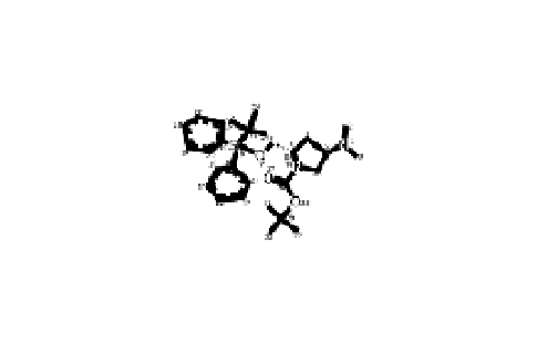 CN(C)C1C[C@@H](CO[Si](c2ccccc2)(c2ccccc2)C(C)(C)C)N(C(=O)OC(C)(C)C)C1